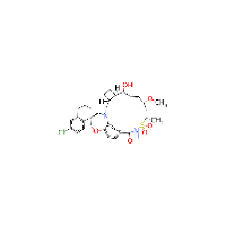 CO[C@H]1/C=C/[C@H](O)[C@@H]2CC[C@H]2CN2C[C@@]3(CCCc4cc(Cl)ccc43)COc3ccc(cc32)C(=O)NS(=O)(=O)[C@H](C)C1